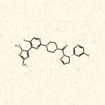 Cc1cc(-c2nc(N3CCN(C(=O)N4N=CC[C@H]4c4cncc(F)c4)CC3)ncc2F)n(C)n1